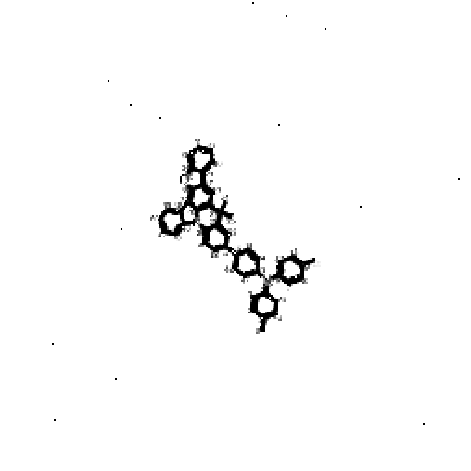 Cc1ccc(N(c2ccc(C)cc2)c2ccc(-c3ccc4c(c3)C(C)(C)c3cc5c6ccccc6oc5c5c6ccccc6n-4c35)cc2)cc1